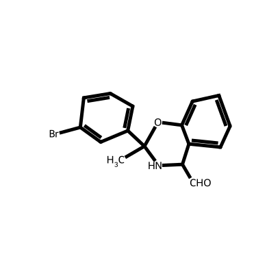 CC1(c2cccc(Br)c2)NC(C=O)c2ccccc2O1